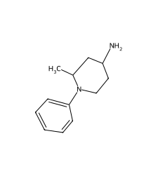 CC1CC(N)CCN1c1ccccc1